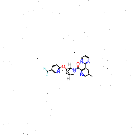 Cc1cnc(C(=O)N2C[C@H]3C[C@@H](Oc4ccc(C(F)F)cn4)[C@@H]2C3)c(-c2ncccn2)c1